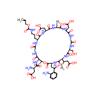 C=CCOC(=O)NCCCC1NC(=O)CNC(=O)C(NC(=O)C(N)CC(=O)O)C(C)OC(=O)C(CC(=O)c2ccccc2N)NC(=O)C(C(C)CC(=O)O)NC(=O)C(CO)NC(=O)CNC(=O)C(CC(=O)O)NC(=O)C(C)NC(=O)C(CC(=O)O)NC1=O